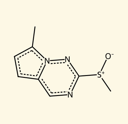 Cc1ccc2cnc([S+](C)[O-])nn12